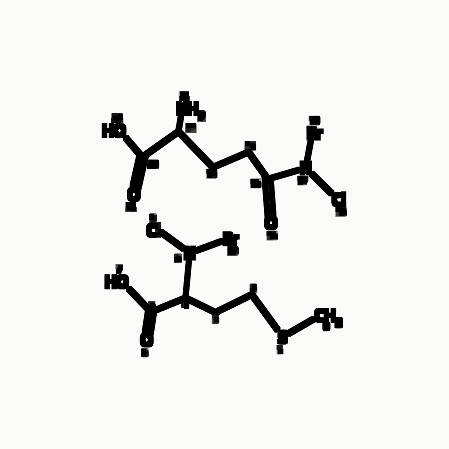 CSCCC(C(=O)O)N(Cl)Br.NC(CCC(=O)N(Cl)Br)C(=O)O